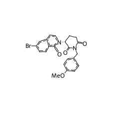 COc1ccc(CN2C(=O)CC[C@@H](n3ccc4cc(Br)ccc4c3=O)C2=O)cc1